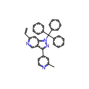 C=Cc1cc2c(cn1)c(-c1ccnc(C)c1)nn2C(c1ccccc1)(c1ccccc1)c1ccccc1